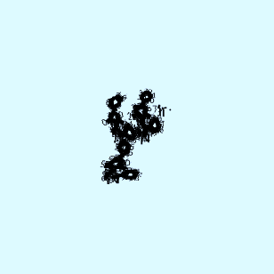 Cc1cc(-c2ccccc2)cc(C)c1-n1ccnc1-c1ccccc1.Cc1cc(-c2ccccc2)cc(C)c1-n1ccnc1-c1ccccc1.Cc1cc(-c2ccccc2)cc(C)c1-n1ccnc1-c1ccccc1.[Ir]